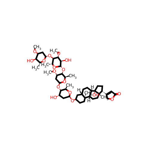 CO[C@@H]1[C@@H](O)[C@H](O[C@H]2[C@@H](OC)C[C@H](O[C@H]3[C@@H](O)C[C@H](O[C@@H]4CC[C@@]5(C)[C@@H](CC[C@@H]6[C@@H]5CC[C@]5(C)[C@@H](C7=CC(=O)OC7)CC[C@]65O)C4)O[C@@H]3C)O[C@@H]2C)O[C@H](C)[C@H]1O[C@H]1C[C@H](OC)[C@H](O)[C@@H](C)O1